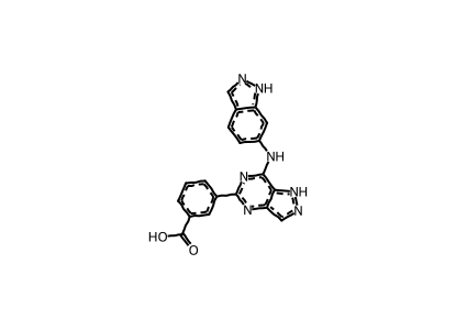 O=C(O)c1cccc(-c2nc(Nc3ccc4cn[nH]c4c3)c3[nH]ncc3n2)c1